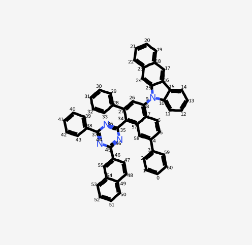 c1ccc(-c2ccc3c(-n4c5ccccc5c5cc6ccccc6cc54)cc(-c4ccccc4)c(-c4nc(-c5ccccc5)nc(-c5ccc6ccccc6c5)n4)c3c2)cc1